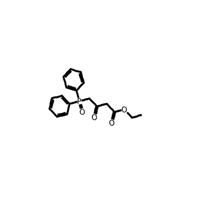 CCOC(=O)CC(=O)CP(=O)(c1ccccc1)c1ccccc1